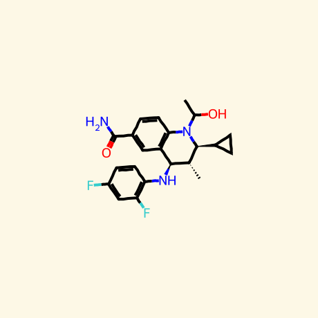 CC(O)N1c2ccc(C(N)=O)cc2[C@H](Nc2ccc(F)cc2F)[C@@H](C)[C@@H]1C1CC1